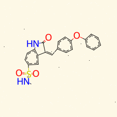 CNS(=O)(=O)c1ccc2c(c1)C(=Cc1ccc(Oc3ccccc3)cc1)C(=O)N2